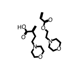 C=C(CCN1CCOCC1)C(=O)O.C=CC(=O)OCCN1CCOCC1